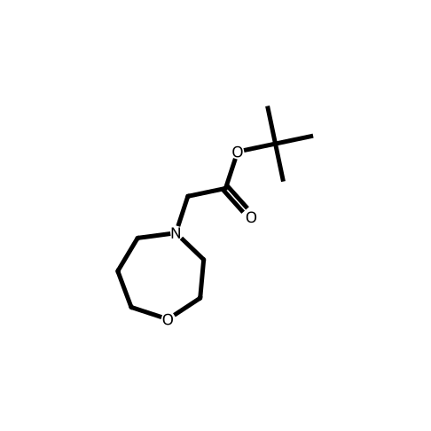 CC(C)(C)OC(=O)CN1CCCOCC1